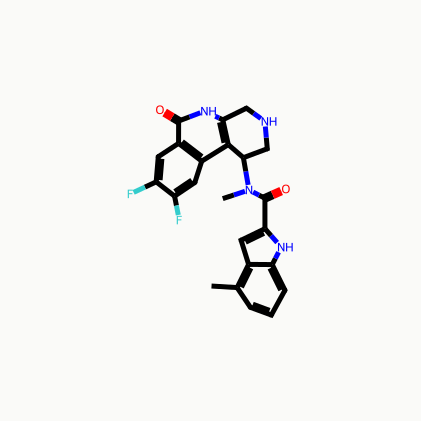 Cc1cccc2[nH]c(C(=O)N(C)C3CNCc4[nH]c(=O)c5cc(F)c(F)cc5c43)cc12